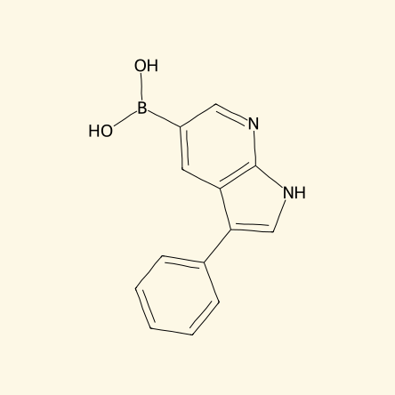 OB(O)c1cnc2[nH]cc(-c3ccccc3)c2c1